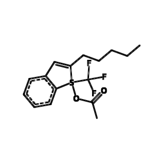 CCCCCC1=Cc2ccccc2S1(OC(C)=O)C(F)(F)F